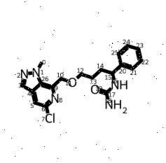 Cn1ncc2cc(Cl)nc(COCCCC(NC(N)=O)c3ccccc3)c21